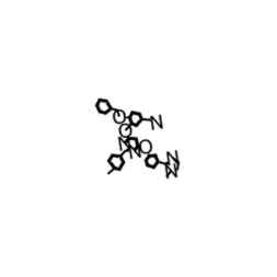 Cc1ccc(-c2nc(Oc3cccc(C4=NCCN4C)c3)cc(Oc3cc(C#N)ccc3OCc3ccccc3)n2)cc1